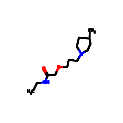 CCNC(=O)COCCCN1CCC(C)CC1